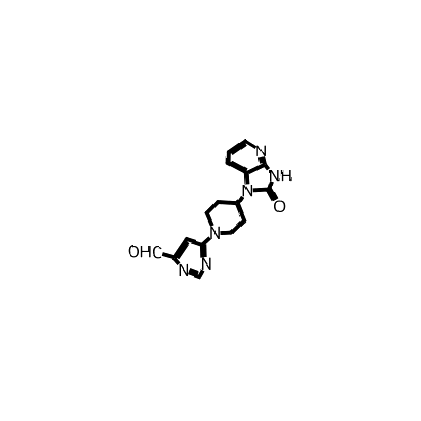 O=Cc1cc(N2CCC(n3c(=O)[nH]c4ncccc43)CC2)ncn1